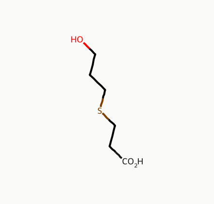 O=C(O)CCSCCCO